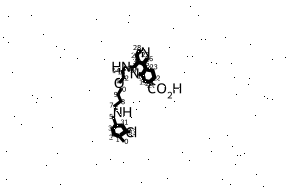 Cc1ccc(CNCCCCOC[C@H](C)Nc2nc3cc(C(=O)O)ccc3c3cnccc23)cc1Cl